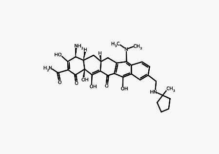 CN(C)c1c2c(c(O)c3cc(CNC4(C)CCCC4)ccc13)C(=O)C1=C(O)[C@]3(O)C(=O)C(C(N)=O)=C(O)[C@@H](N)[C@@H]3C[C@@H]1C2